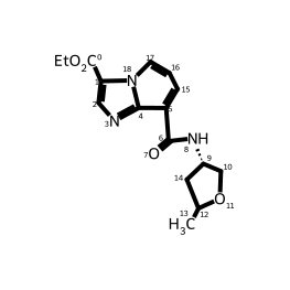 CCOC(=O)c1cnc2c(C(=O)N[C@@H]3COC(C)C3)cccn12